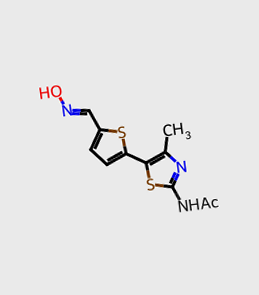 CC(=O)Nc1nc(C)c(-c2ccc(/C=N/O)s2)s1